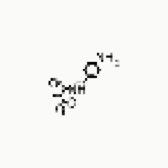 COC(=O)C(C)C(C=O)NCCc1ccc(N)cc1